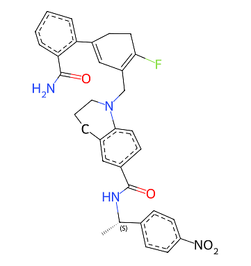 C[C@H](NC(=O)c1ccc2c(c1)CCCN2CC1=C(F)CCC(c2ccccc2C(N)=O)=C1)c1ccc([N+](=O)[O-])cc1